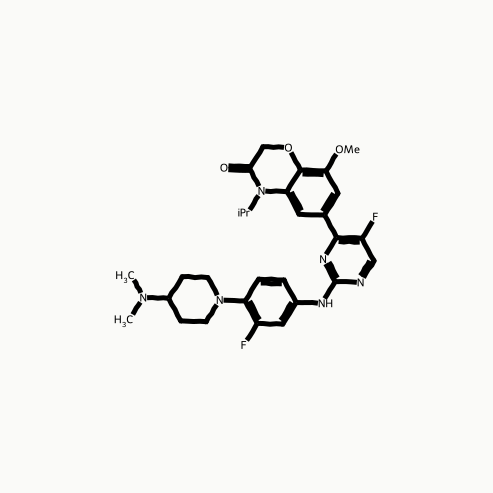 COc1cc(-c2nc(Nc3ccc(N4CCC(N(C)C)CC4)c(F)c3)ncc2F)cc2c1OCC(=O)N2C(C)C